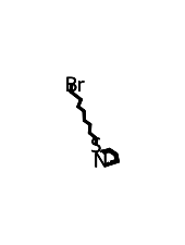 BrCCCCCCCCSc1ccccn1